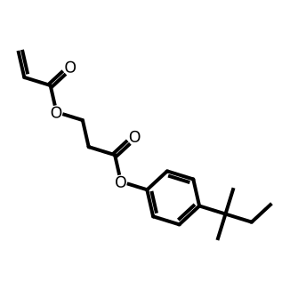 C=CC(=O)OCCC(=O)Oc1ccc(C(C)(C)CC)cc1